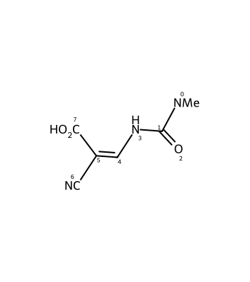 CNC(=O)N/C=C(/C#N)C(=O)O